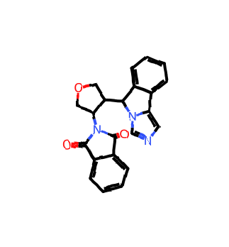 O=C1c2ccccc2C(=O)N1C1COCC1C1c2ccccc2-c2cncn21